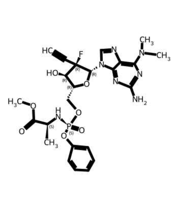 C#C[C@@]1(F)[C@H](O)[C@@H](CO[P@@](=O)(N[C@@H](C)C(=O)OC)Oc2ccccc2)O[C@H]1n1cnc2c(N(C)C)nc(N)nc21